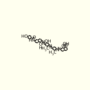 Cc1cc(N=Nc2cc(O)c(N=Nc3ccc4cc(NC(=O)c5ccc(O)cc5)ccc4c3O)cc2C)ccc1N=Nc1ccc2cccc(S(=O)(=O)O)c2c1